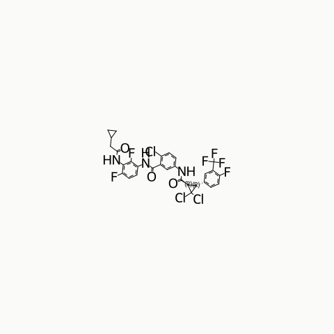 O=C(CC1CC1)Nc1c(F)ccc(NC(=O)c2cc(NC(=O)[C@H]3[C@H](c4ccc(F)c(C(F)(F)F)c4)C3(Cl)Cl)ccc2Cl)c1F